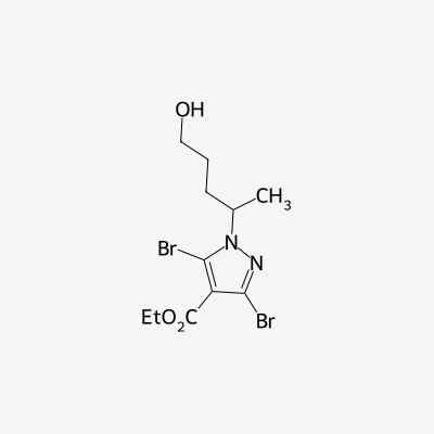 CCOC(=O)c1c(Br)nn(C(C)CCCO)c1Br